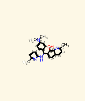 Cc1cccc(N[C@@H](c2ccc(N(C)C)cc2)c2ccc3ccc(C)nc3c2O)n1